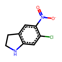 O=[N+]([O-])c1cc2c(cc1Cl)NCC2